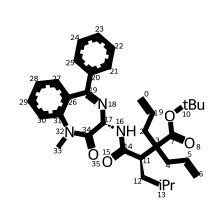 C=CCC(CC=C)(C(=O)OC(C)(C)C)[C@@H](CC(C)C)C(=O)N[C@H]1N=C(c2ccccc2)c2ccccc2N(C)C1=O